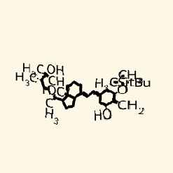 C=C1[C@H](O)C/C(=C\C=C2/CCCC3(C)C2CCC3[C@@H](C)OC[C@H](C)C(C)(C)O)C[C@H]1O[Si](C)(C)C(C)(C)C